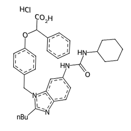 CCCCc1nc2ccc(NC(=O)NC3CCCCC3)cc2n1Cc1ccc(OC(C(=O)O)c2ccccc2)cc1.Cl